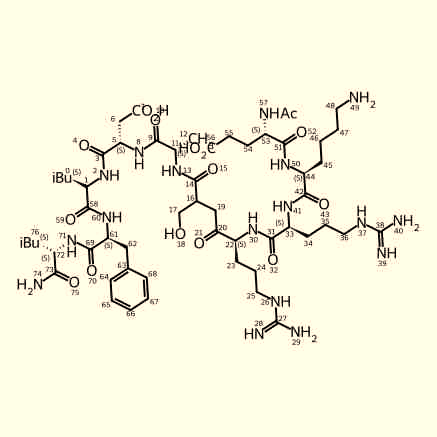 CC[C@H](C)C(NC(=O)[C@H](CC(=O)O)NC(=O)[C@H](C)NC(=O)C(CO)CC(=O)[C@H](CCCNC(=N)N)NC(=O)[C@H](CCCNC(=N)N)NC(=O)[C@H](CCCCN)NC(=O)[C@H](CCC(=O)O)NC(C)=O)C(=O)N[C@@H](Cc1ccccc1)C(=O)N[C@H](C(N)=O)[C@@H](C)CC